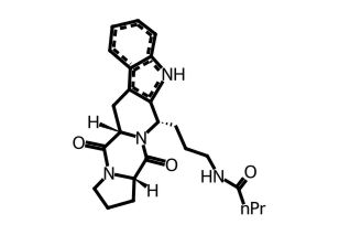 CCCC(=O)NCCC[C@H]1c2[nH]c3ccccc3c2C[C@H]2C(=O)N3CCC[C@H]3C(=O)N21